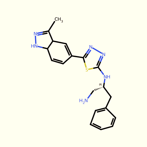 CC1=NNC2C=CC(c3nnc(N[C@@H](CN)Cc4ccccc4)s3)=CC12